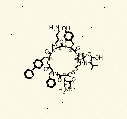 CC(C)[C@H](NC(=O)[C@@H]1CSSC[C@H](NC(=O)[C@H](C)N)C(=O)N[C@@H](Cc2ccccc2)C(=O)C[C@@H](Cc2ccc(-c3ccccc3)cc2)C(=O)N[C@@H](CCCCN)C(=O)N[C@@H](Cc2ccc(O)cc2)C(=O)N1)C(=O)O